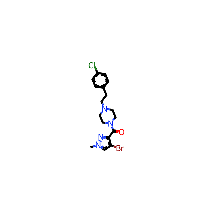 Cn1cc(Br)c(C(=O)N2CCN(CCc3ccc(Cl)cc3)CC2)n1